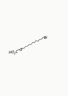 O=C(O)COCCCCCCCCCCCCCBr